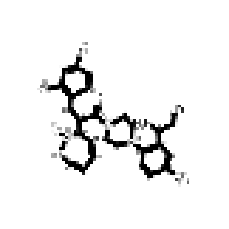 CC(C)CC(N)c1cc(C(F)(F)F)ccc1N1CCN(C(=O)C(Cc2ccc(Cl)cc2Cl)C2=[N+]([O-])SC=CC=C2)CC1